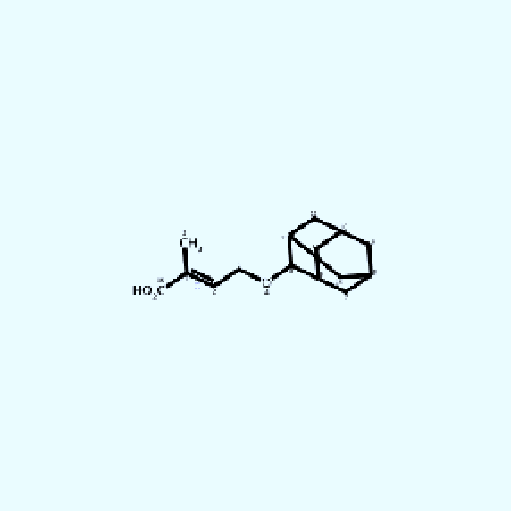 C/C(=C\COC1C2CC3CC(C2)CC1C3)C(=O)O